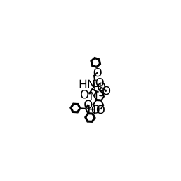 O=C(COc1ccccc1)N[C@H]1C(=O)N2C(C(=O)OC(c3ccccc3)c3ccccc3)=C(CO)CS(=O)(=O)[C@H]12